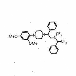 COc1ccc(N2CCN(C(CN(C(c3ccccc3)C(F)(F)F)C(F)(F)F)c3ccccc3)CC2)c(OC)c1